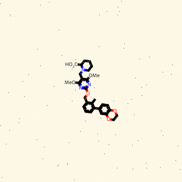 COc1nc(OCc2cccc(-c3ccc4c(c3)OCCO4)c2C)nc(OC)c1CN1CCCCC1C(=O)O